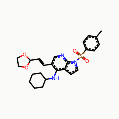 Cc1ccc(S(=O)(=O)n2ccc3c(NC4CCCCC4)c(C=CC4OCCO4)cnc32)cc1